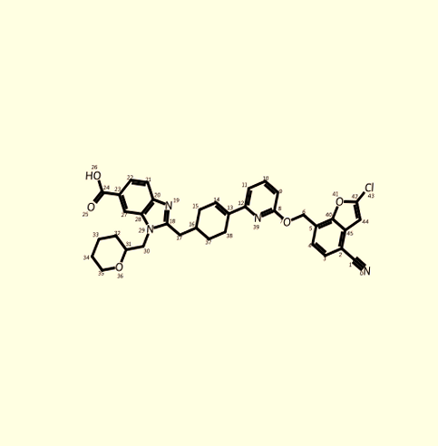 N#Cc1ccc(COc2cccc(C3=CCC(Cc4nc5ccc(C(=O)O)cc5n4CC4CCCCO4)CC3)n2)c2oc(Cl)cc12